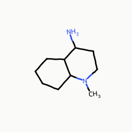 CN1CCC(N)C2CCCCC21